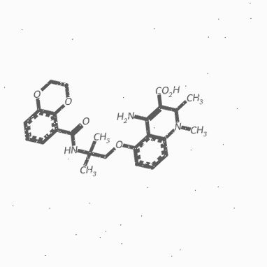 CC1C(C(=O)O)=C(N)c2c(OCC(C)(C)NC(=O)c3cccc4c3OCCO4)cccc2N1C